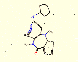 CN1C(=O)c2ccccc2N(C)c2cc(NC3CCCC3)ncc21